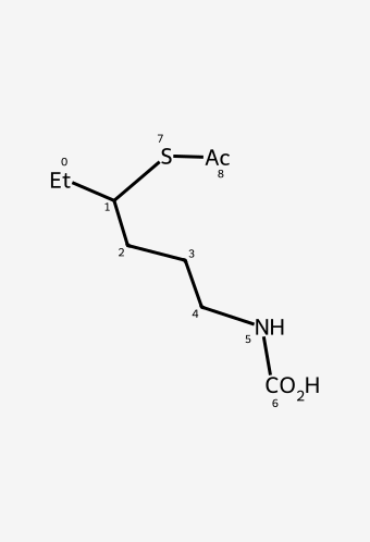 CCC(CCCNC(=O)O)SC(C)=O